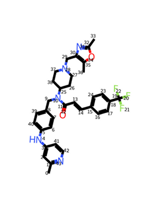 Cc1cc(Nc2ccc(CN(C(=O)/C=C/c3ccc(C(F)(F)F)cc3)C3CCN(Cc4nc(C)oc4C)CC3)cc2)ccn1